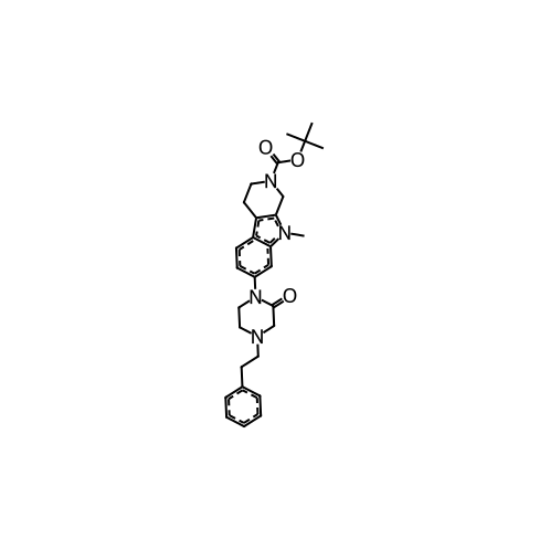 Cn1c2c(c3ccc(N4CCN(CCc5ccccc5)CC4=O)cc31)CCN(C(=O)OC(C)(C)C)C2